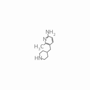 Cc1nc(N)ccc1CC1CCNCC1